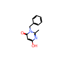 Cc1nc(O)cc(=O)n1Cc1ccccc1